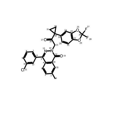 Cc1ccc2c(-c3cccc(Cl)c3)nn(CC(=O)C3(c4ccc5c(c4)OC(F)(F)O5)CC3)c(=O)c2c1